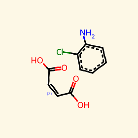 Nc1ccccc1Cl.O=C(O)/C=C\C(=O)O